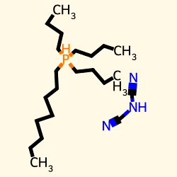 CCCCCCCC[PH](CCCC)(CCCC)CCCC.N#CNC#N